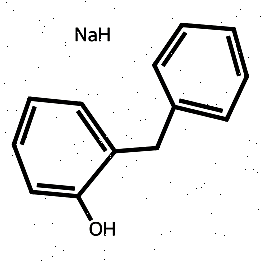 Oc1ccccc1Cc1ccccc1.[NaH]